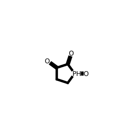 O=C1CC[PH](=O)C1=O